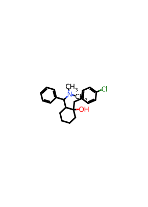 CN(C)C(c1ccccc1)C1CCCCC1(O)Cc1ccc(Cl)cc1